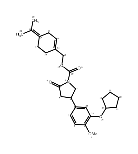 COc1ccc(C2CC(=O)N(C(=O)OCC3=CCC(=C(C)C)CC3)C2)cc1OC1CCCC1